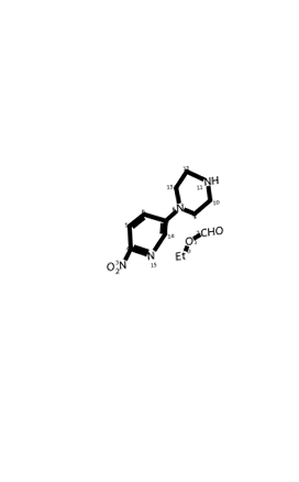 CCOC=O.O=[N+]([O-])c1ccc(N2CCNCC2)cn1